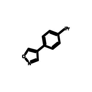 CC(C)c1ccc(-c2cnoc2)cc1